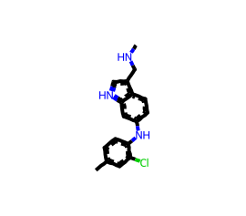 CNCc1c[nH]c2cc(Nc3ccc(C)cc3Cl)ccc12